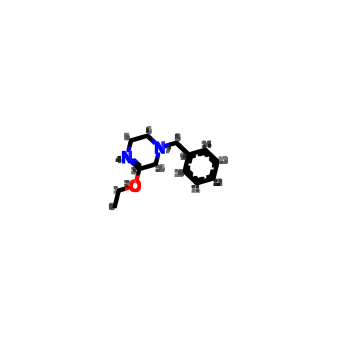 CCOC1=NCCN(Cc2ccccc2)C1